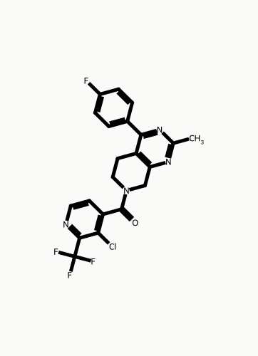 Cc1nc2c(c(-c3ccc(F)cc3)n1)CCN(C(=O)c1ccnc(C(F)(F)F)c1Cl)C2